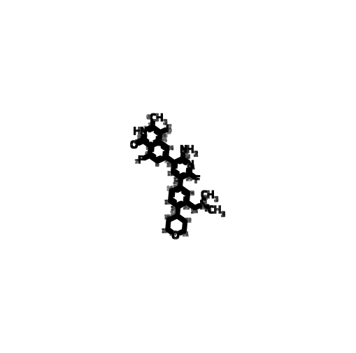 Cc1[nH]c(=O)c2c(F)cc(-c3cc(-c4ccc(C5CCOCC5)c(CN(C)C)c4)c(F)nc3N)cc2c1F